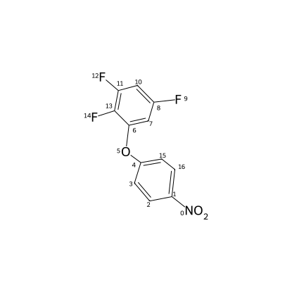 O=[N+]([O-])c1ccc(Oc2cc(F)cc(F)c2F)cc1